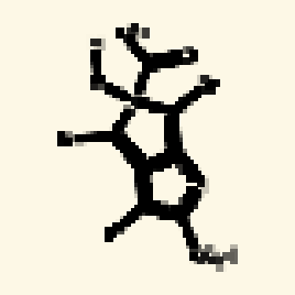 CCCCC(=O)S1(OCC)C(Br)=c2sc(C(=O)O)c(F)c2=C1Br